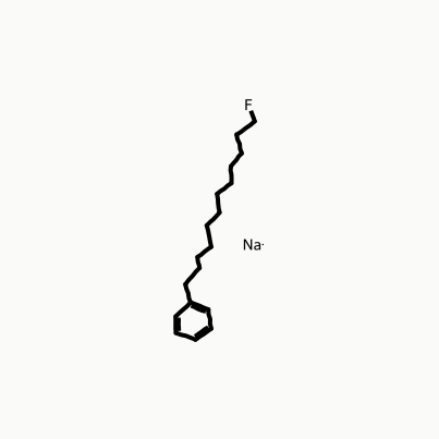 FCCCCCCCCCCCCc1ccccc1.[Na]